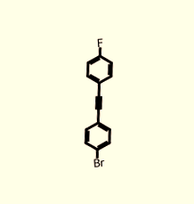 Fc1ccc(C#Cc2ccc(Br)cc2)cc1